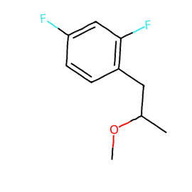 COC(C)Cc1ccc(F)cc1F